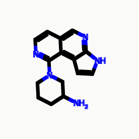 NC1CCCN(c2nccc3cnc4[nH]ccc4c23)C1